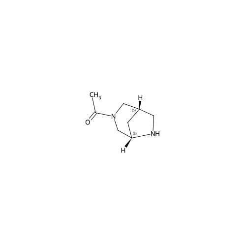 CC(=O)N1C[C@@H]2CN[C@@H](C2)C1